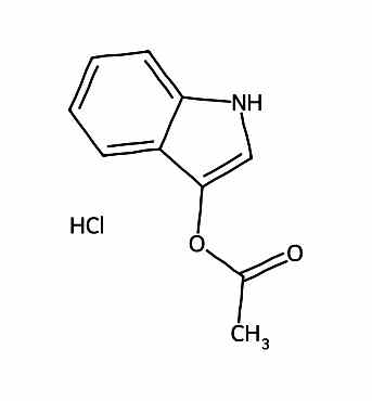 CC(=O)Oc1c[nH]c2ccccc12.Cl